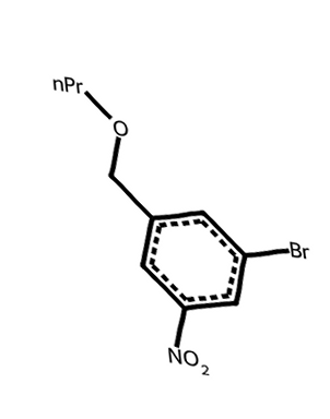 CCCOCc1cc(Br)cc([N+](=O)[O-])c1